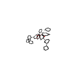 c1ccc(-c2cccc(-c3ccc(N(c4ccc(-c5cccc6oc7ccccc7c56)cc4)c4cccc(-c5ccccc5)c4-c4ccccc4-c4ccccc4)cc3)c2)cc1